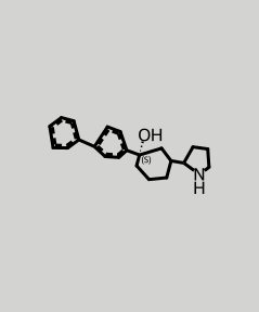 O[C@@]1(c2ccc(-c3ccccc3)cc2)CCCC(C2CCCN2)C1